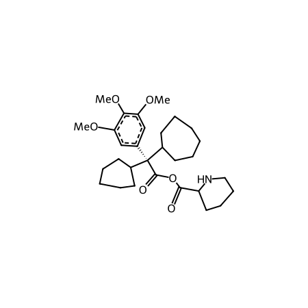 COc1cc([C@@](C(=O)OC(=O)C2CCCCN2)(C2CCCCCC2)C2CCCCC2)cc(OC)c1OC